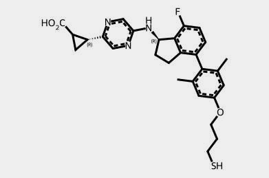 Cc1cc(OCCCS)cc(C)c1-c1ccc(F)c2c1CC[C@H]2Nc1cnc([C@@H]2CC2C(=O)O)cn1